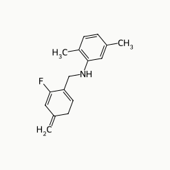 C=C1C=C(F)C(CNc2cc(C)ccc2C)=CC1